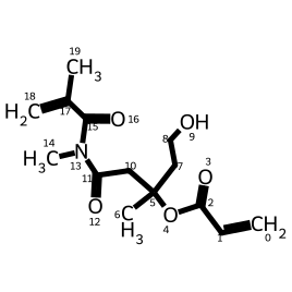 C=CC(=O)OC(C)(CCO)CC(=O)N(C)C(=O)C(=C)C